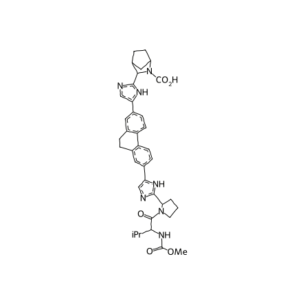 COC(=O)NC(C(=O)N1CCCC1c1ncc(-c2ccc3c(c2)CCc2cc(-c4cnc(C5C6CCC(C6)N5C(=O)O)[nH]4)ccc2-3)[nH]1)C(C)C